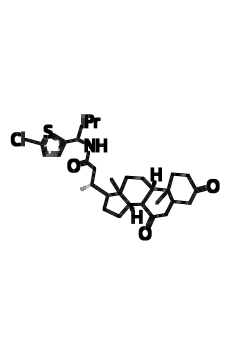 CC(C)C(NC(=O)C[C@@H](C)C1CC[C@H]2C3C(=O)CC4CC(=O)CCC4(C)[C@H]3CCC12C)c1ccc(Cl)s1